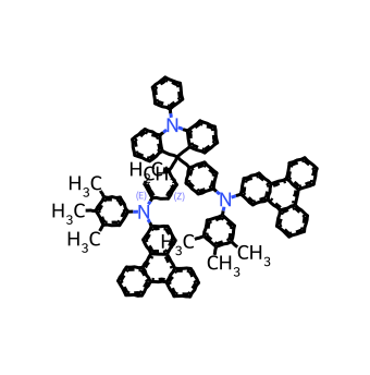 C=C(/C=C\C(=C/C)N(c1cc(C)c(C)c(C)c1)c1ccc2c3ccccc3c3ccccc3c2c1)C1(c2ccc(N(c3cc(C)c(C)c(C)c3)c3ccc4c5ccccc5c5ccccc5c4c3)cc2)c2ccccc2N(c2ccccc2)c2ccccc21